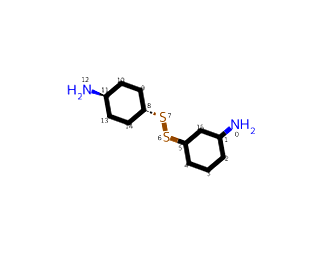 NC1CCCC(SS[C@H]2CC[C@H](N)CC2)C1